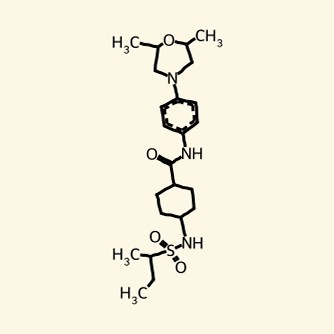 CCC(C)S(=O)(=O)NC1CCC(C(=O)Nc2ccc(N3CC(C)OC(C)C3)cc2)CC1